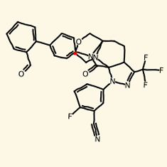 N#Cc1cc(N2N=C(C(F)(F)F)C3CCC45COCCN4C32C(=O)N5c2ccc(-c3ccccc3C=O)cc2)ccc1F